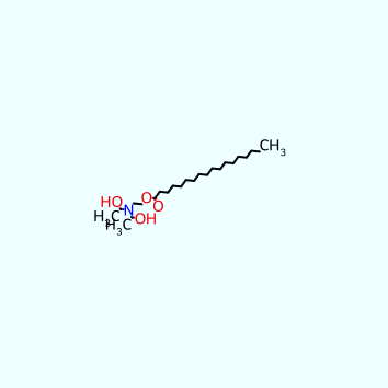 CCCCCCCCCCCCCCCCCC(=O)OCCN(C(C)O)C(C)O